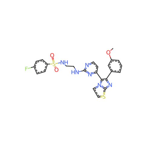 COc1cccc(-c2nc3sccn3c2-c2ccnc(NCCNS(=O)(=O)c3ccc(F)cc3)n2)c1